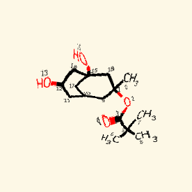 CC1(OC(=O)C(C)(C)C)CC2CC(O)CC(O)(C2)C1